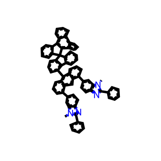 Cn1c(-c2ccccc2)nc2ccc(-c3cccc4c(-c5cccc6c5-c5ccccc5C65c6ccccc6-c6c5c5ccccc5c5ccccc65)c5cccc(-c6ccc7nc(-c8ccccc8)n(C)c7c6)c5cc34)cc21